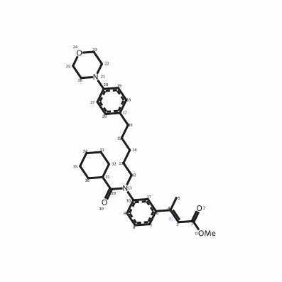 COC(=O)/C=C(\C)c1cccc(N(CCCCCc2ccc(N3CCOCC3)cc2)C(=O)C2CCCCC2)c1